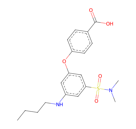 CCCCNc1cc(Oc2ccc(C(=O)O)cc2)cc(S(=O)(=O)N(C)C)c1